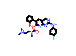 CN(C)CCN(C)C(=O)Oc1nc2nc(Nc3ccc(F)cc3)ncc2cc1-c1ccccc1Br